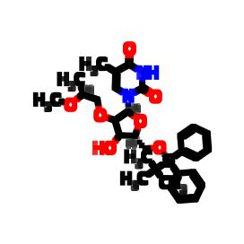 CO[C@@H](C)COC1C(O)[C@@H](CO[Si](c2ccccc2)(c2ccccc2)C(C)(C)C)O[C@H]1n1cc(C)c(=O)[nH]c1=O